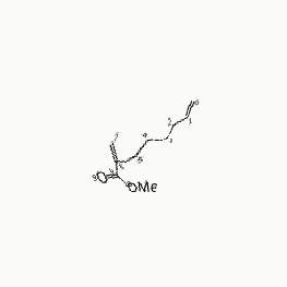 C=CCCCCC(=C)C(=O)OC